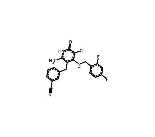 Cc1[nH]c(=O)c(Cl)c(NCc2ccc(F)cc2F)c1Cc1cccc(C#N)c1